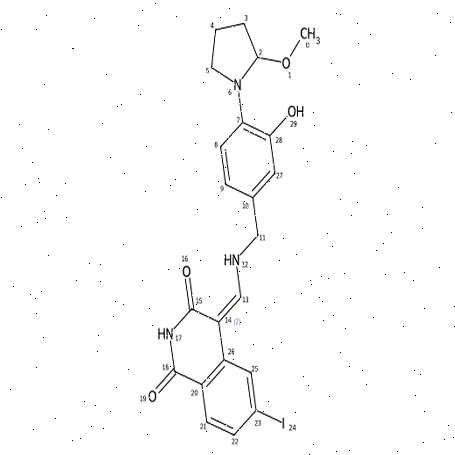 COC1CCCN1c1ccc(CN/C=C2\C(=O)NC(=O)c3ccc(I)cc32)cc1O